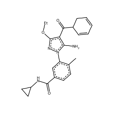 CCOc1nn(-c2cc(C(=O)NC3CC3)ccc2C)c(N)c1C(=O)C1C=CC=CC1